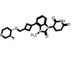 Cn1c(=O)n(C2CCC(=O)NC2=O)c2cccc(C3CC(CO[C@H]4CCNC[C@@H]4F)C3)c21